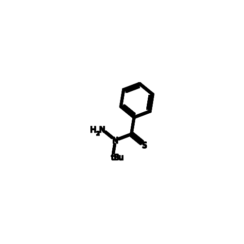 CC(C)(C)N(N)C(=S)c1ccccc1